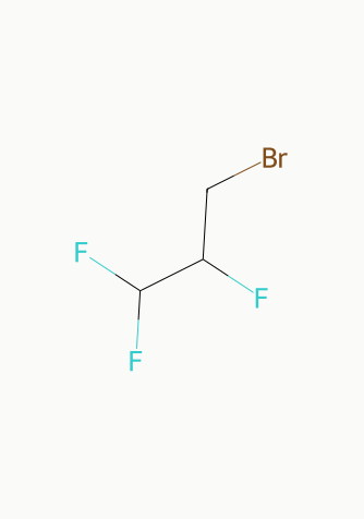 FC(F)C(F)CBr